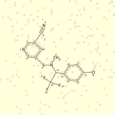 CN(Sc1cncc(C#N)c1)C(c1ccc(Cl)cc1)C(F)(F)F